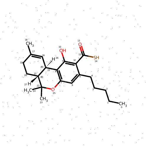 CCCCCc1cc2c(c(O)c1C(=O)S)[C@@H]1C=C(C)CC[C@H]1C(C)(C)O2